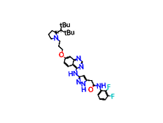 CC(C)(C)[C]([C@@H]1CCCN1CCCOc1ccc2c(Nc3cc(CC(=O)Nc4cccc(F)c4F)[nH]n3)ncnc2c1)C(C)(C)C